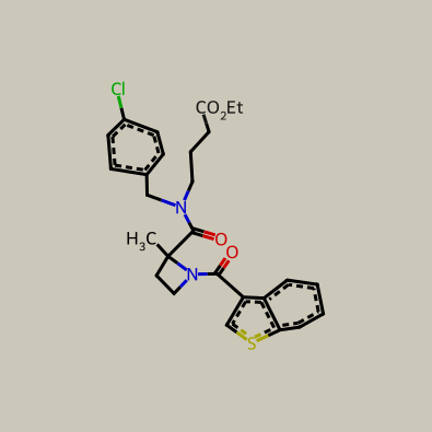 CCOC(=O)CCCN(Cc1ccc(Cl)cc1)C(=O)C1(C)CCN1C(=O)c1csc2ccccc12